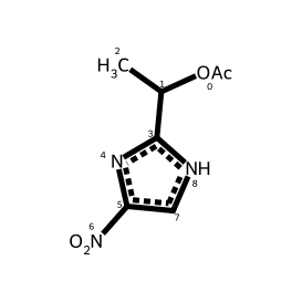 CC(=O)OC(C)c1nc([N+](=O)[O-])c[nH]1